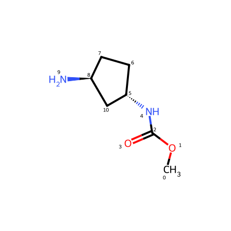 COC(=O)N[C@H]1CC[C@H](N)C1